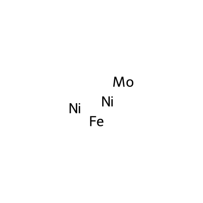 [Fe].[Mo].[Ni].[Ni]